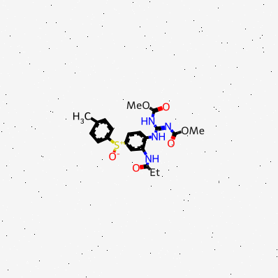 CCC(=O)Nc1cc([S+]([O-])c2ccc(C)cc2)ccc1NC(=NC(=O)OC)NC(=O)OC